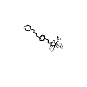 CC1(C)OB(/C=C/c2ccc(CCCCN3CCOCC3)cc2)OC1(C)C